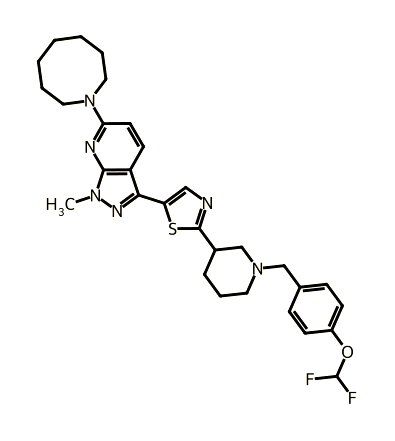 Cn1nc(-c2cnc(C3CCCN(Cc4ccc(OC(F)F)cc4)C3)s2)c2ccc(N3CCCCCCC3)nc21